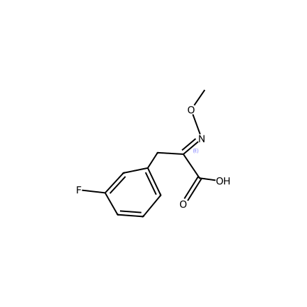 CO/N=C(\Cc1cccc(F)c1)C(=O)O